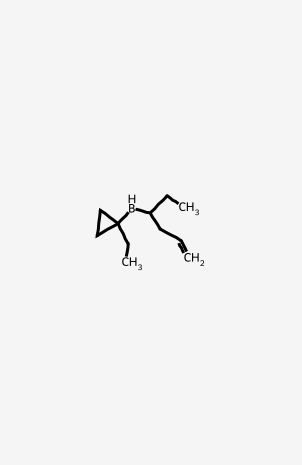 C=CCC(BC1(CC)CC1)CC